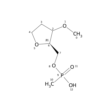 COC1CCO[C@@H]1COP(C)(=O)O